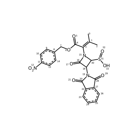 CC(C)=C(C(=O)OCc1ccc([N+](=O)[O-])cc1)N1C(=O)C(N2C(=O)c3ccccc3C2=O)C1S(=O)O